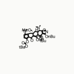 CCCCOc1noc2c1C(=O)[C@@]1(O[Si](C)(C)C(C)(C)C)C(O)=C3C(=O)c4c(OC(=O)OC(C)(C)C)ccc(N(C)C)c4C[C@@]3(COC)C[C@H]1[C@@H]2N(C)C